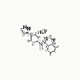 Cl.c1ccc2c(Nc3ccc(-c4csnn4)cc3)ncnc2c1